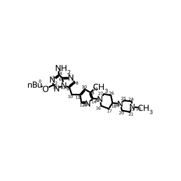 CCCCOc1nc(N)c2ncc(Cc3cnc(N4CCC(N5CCN(C)CC5)CC4)c(C)c3)n2n1